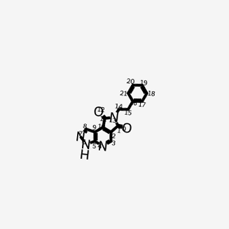 O=C1c2cnc3[nH]ncc3c2C(=O)N1CCc1ccccc1